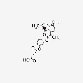 C[C@@H]1CCC2[C@@H](C)[C@@H](Oc3cccc(OC(=O)CCC(=O)O)c3)O[C@H]3OC4(C)CCC1C23OO4